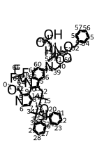 CO[C@@H](C)c1ncccc1-c1c(CC(C)(C)CO[Si](c2ccccc2)(c2ccccc2)C(C)(C)C)c2cc(N3CCO[C@](CCC(=O)O)(NC(=O)OCc4ccccc4)C3)ccc2n1CC(F)(F)F